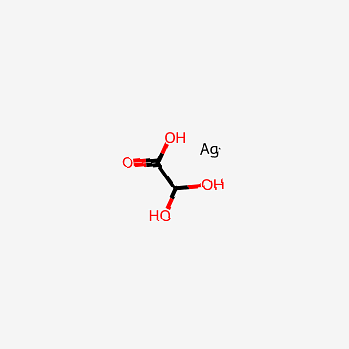 O=C(O)C(O)O.[Ag]